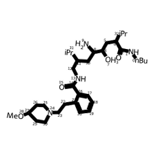 CCCCNC(=O)C(CC(O)C(N)CC(CNC(=O)c1ccccc1CCN1CCC(OC)CC1)C(C)C)C(C)C